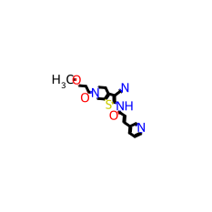 COCCC(=O)N1CCc2c(sc(NC(=O)/C=C/c3cccnc3)c2C#N)C1